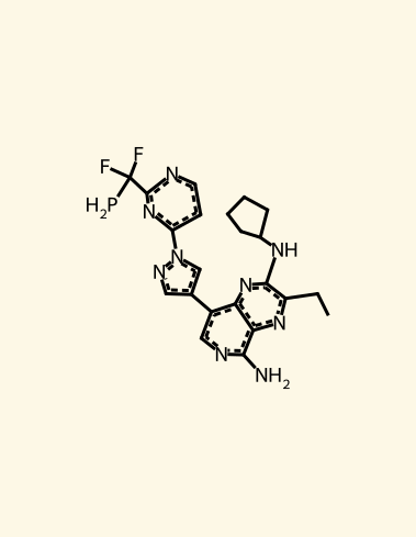 CCc1nc2c(N)ncc(-c3cnn(-c4ccnc(C(F)(F)P)n4)c3)c2nc1NC1CCCC1